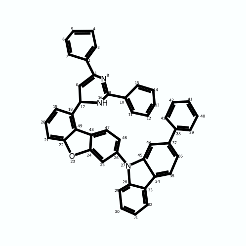 C1=C(c2ccccc2)N=C(c2ccccc2)NC1c1cccc2oc3cc(-n4c5ccccc5c5ccc(-c6ccccc6)cc54)ccc3c12